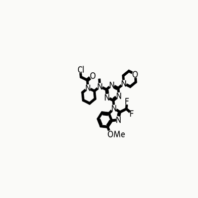 COc1cccc2c1nc(C(F)F)n2-c1nc(N2CCOCC2)nc(N(C)C2CCCCN2C(=O)CCl)n1